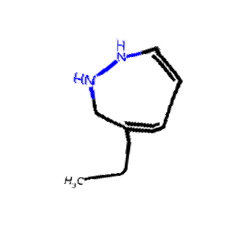 CCC1=CC=CNNC1